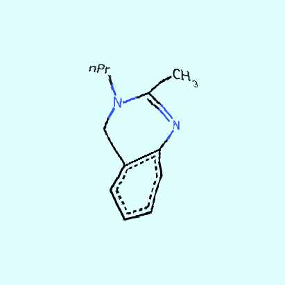 CCCN1Cc2ccccc2N=C1C